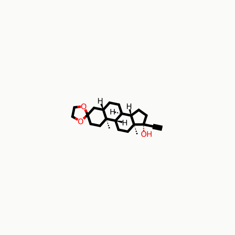 C#C[C@]1(O)CC[C@H]2[C@@H]3CC[C@H]4CC5(CC[C@]4(C)[C@H]3CC[C@@]21C)OCCO5